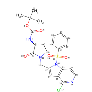 CC(C)(C)OC(=O)N[C@H]1CCN(Cc2cc3c(Cl)nccc3n2S(=O)(=O)c2ccccc2)C1=O